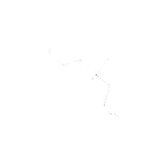 C=CCC(F)(F)CCF